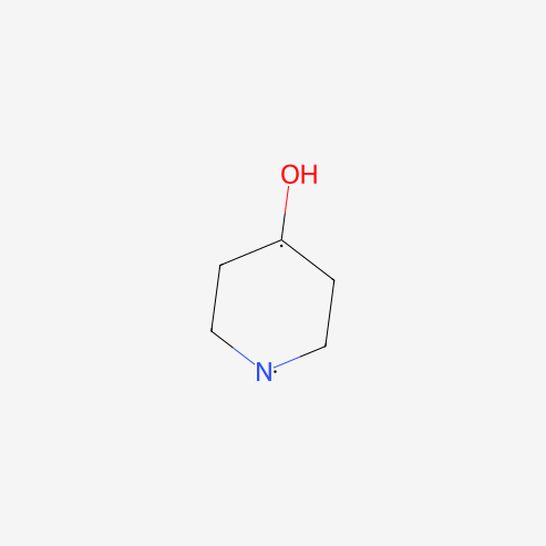 O[C]1CC[N]CC1